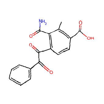 Cc1c(C(=O)O)ccc(C(=O)C(=O)c2ccccc2)c1C(N)=O